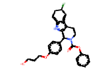 O=C(Oc1ccccc1)N1CCc2c([nH]c3c2=CC(Cl)CC=3)C1c1ccc(OCCCO)cc1